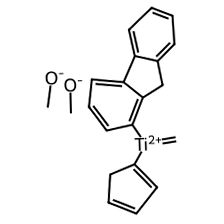 C[O-].C[O-].[CH2]=[Ti+2]([C]1=CC=CC1)[c]1cccc2c1Cc1ccccc1-2